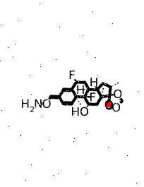 C[C@H]1C[C@H]2[C@@H]3C[C@H](F)C4=C/C(=C/ON)C=C[C@]4(C)[C@@]3(F)[C@@H](O)C[C@]2(C)[C@]12OCOC21COCO1